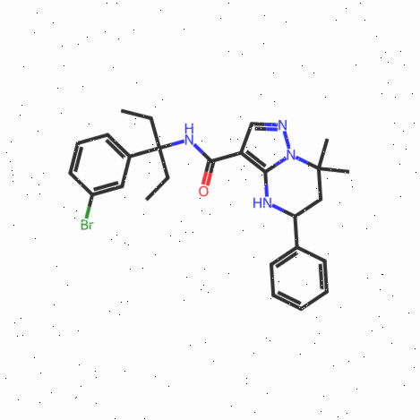 CCC(CC)(NC(=O)c1cnn2c1NC(c1ccccc1)CC2(C)C)c1cccc(Br)c1